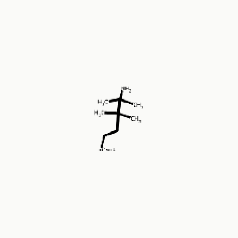 CCCCCCCC(C)(C)C(C)(C)N